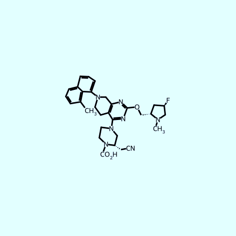 Cc1cccc2cccc(N3CCc4c(nc(OC[C@@H]5C[C@@H](F)CN5C)nc4N4CCN(C(=O)O)[C@@H](CC#N)C4)C3)c12